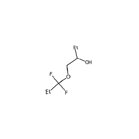 CCC(O)COC(F)(F)CC